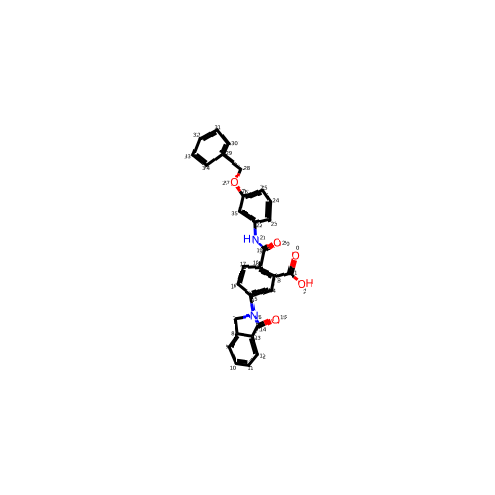 O=C(O)c1cc(N2Cc3ccccc3C2=O)ccc1C(=O)Nc1cccc(OCc2ccccc2)c1